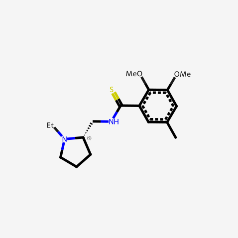 CCN1CCC[C@H]1CNC(=S)c1cc(C)cc(OC)c1OC